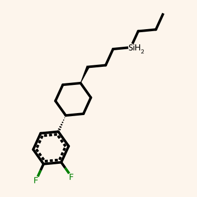 CCC[SiH2]CCC[C@H]1CC[C@H](c2ccc(F)c(F)c2)CC1